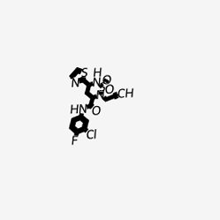 C#CCN1C(C(=O)Nc2ccc(F)c(Cl)c2)CC(c2nccs2)NS1(=O)=O